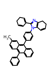 Cc1ccc2c(-c3ccccc3)c3ccccc3c(-c3ccc(-n4c(C5=CCCC=C5)nc5c4C=CCC5)cc3)c2c1